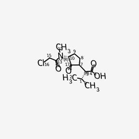 CC(C)[C@@H](C(=O)O)C1CC[C@@H](N(C)C(=O)CCl)C1=O